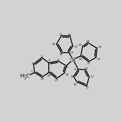 Cc1ccc2cc([Si](c3ccccc3)(c3ccccc3)c3ccccc3)ccc2c1